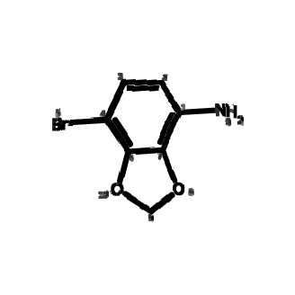 Nc1ccc(Br)c2c1OCO2